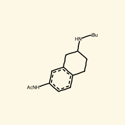 CCC(C)NC1CCc2ccc(NC(C)=O)cc2C1